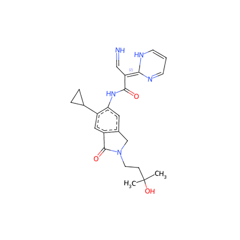 CC(C)(O)CCN1Cc2cc(NC(=O)/C(C=N)=C3\N=CC=CN3)c(C3CC3)cc2C1=O